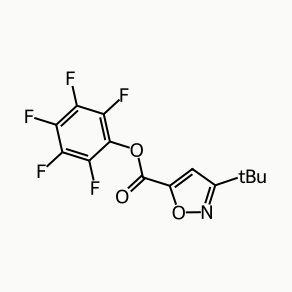 CC(C)(C)c1cc(C(=O)Oc2c(F)c(F)c(F)c(F)c2F)on1